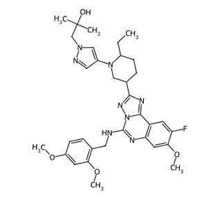 CCC1CCC(c2nc3c4cc(F)c(OC)cc4nc(NCc4ccc(OC)cc4OC)n3n2)CN1c1cnn(CC(C)(C)O)c1